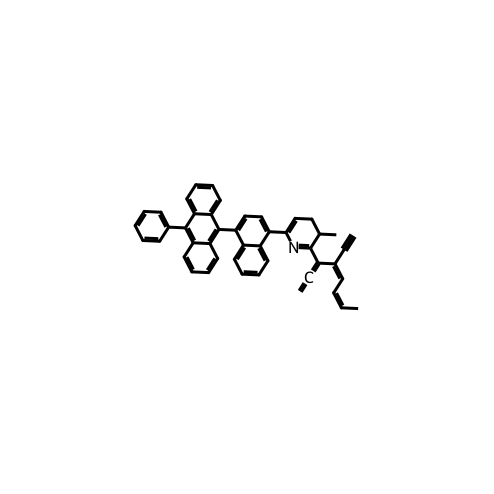 C#C/C(=C/C=C\C)C(=C=C)C1=NC(c2ccc(-c3c4ccccc4c(-c4ccccc4)c4ccccc34)c3ccccc23)=CCC1C